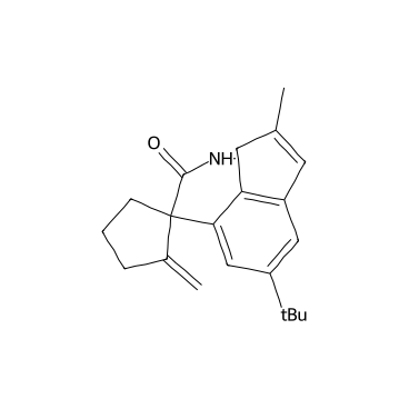 C=C1CCCC1(C([NH])=O)c1cc(C(C)(C)C)cc2c1CC(C)=C2